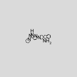 N[C@@H]1c2ccccc2CC12CCN(c1ccc3c(N4CCCCC4)n[nH]c3n1)CC2